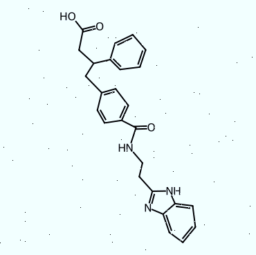 O=C(O)CC(Cc1ccc(C(=O)NCCc2nc3ccccc3[nH]2)cc1)c1ccccc1